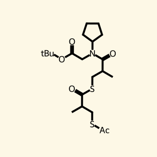 CC(=O)SCC(C)C(=O)SCC(C)C(=O)N(CC(=O)OC(C)(C)C)C1CCCC1